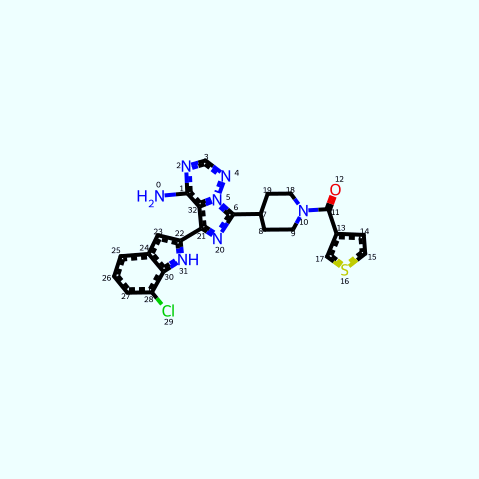 Nc1ncnn2c(C3CCN(C(=O)c4ccsc4)CC3)nc(-c3cc4cccc(Cl)c4[nH]3)c12